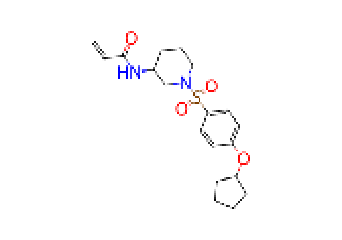 C=CC(=O)N[C@H]1CCCN(S(=O)(=O)c2ccc(OC3CCCC3)cc2)C1